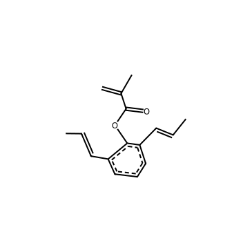 C=C(C)C(=O)Oc1c(C=CC)cccc1C=CC